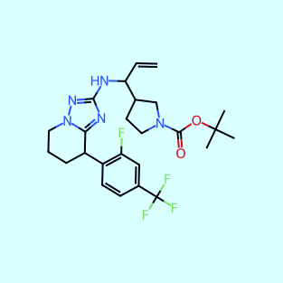 C=CC(Nc1nc2n(n1)CCCC2c1ccc(C(F)(F)F)cc1F)C1CCN(C(=O)OC(C)(C)C)C1